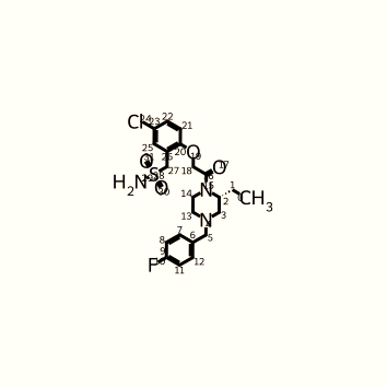 CC[C@@H]1CN(Cc2ccc(F)cc2)CCN1C(=O)COc1ccc(Cl)cc1CS(N)(=O)=O